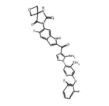 Cc1cc(Oc2c(F)cccc2F)ncc1-n1ncc(C(=O)c2cc3cc(F)c(N4C(=O)NC5(COC5)C4=O)cc3[nH]2)c1N